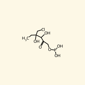 CCC(O)(CCl)C(O)C(=O)COP(O)O